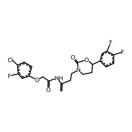 C=C(CCN1CCC(c2ccc(F)c(F)c2)OC1=O)NC(=O)COc1ccc(Cl)c(F)c1